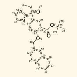 CCC(OC)(c1ccc(OCc2ccc3ccccc3c2)c(C(=O)OC(C)(C)C)c1)c1nccs1